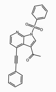 CC(=O)c1cn(S(=O)(=O)c2ccccc2)c2nccc(C#Cc3ccccc3)c12